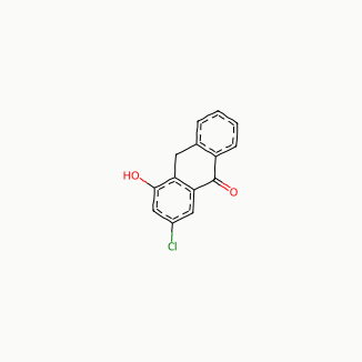 O=C1c2ccccc2Cc2c(O)cc(Cl)cc21